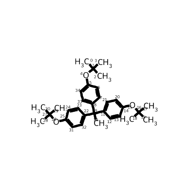 CC(C)(C)Oc1ccc(C(C)(c2ccc(OC(C)(C)C)cc2)c2ccc(OC(C)(C)C)cc2)cc1